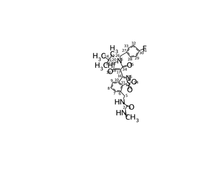 CNC(=O)NCc1cccc2c1S(=O)(=O)N=C2C1=C(O)[C@H](C(C)(C)C)N(Cc2ccc(F)cc2)C1=O